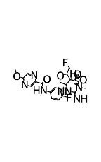 COc1cnc(C(=O)Nc2ccc(F)c([C@]34CO[C@@H](CF)[C@H]3S(=O)(=O)N(C)C(=N)N4)c2)cn1